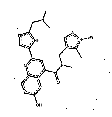 CCn1ncc(CN(C)C(=O)c2cc(-c3cnc(CN(C)C)[nH]3)nc3ccc(O)cc23)c1C